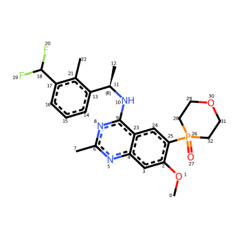 COc1cc2nc(C)nc(N[C@H](C)c3cccc(C(F)F)c3C)c2cc1P1(=O)CCOCC1